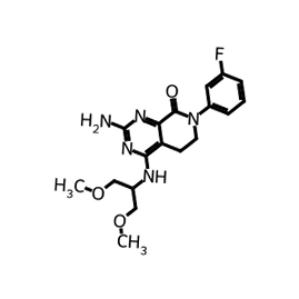 COCC(COC)Nc1nc(N)nc2c1CCN(c1cccc(F)c1)C2=O